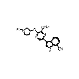 COc1nc(-c2c[nH]c3c(C#N)cccc23)cnc1OC1CCN(C(C)=O)C1